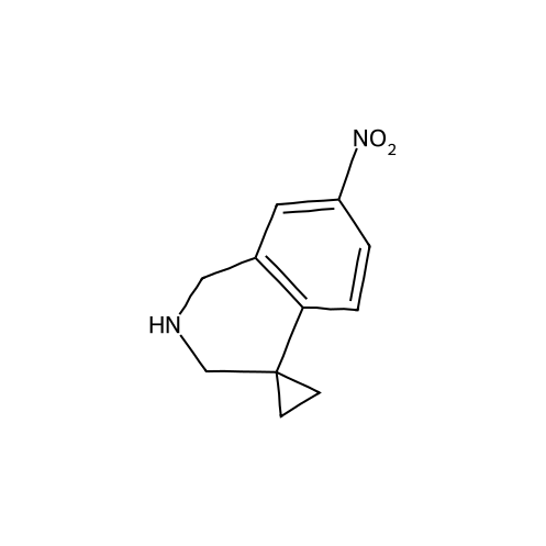 O=[N+]([O-])c1ccc2c(c1)CNCC21CC1